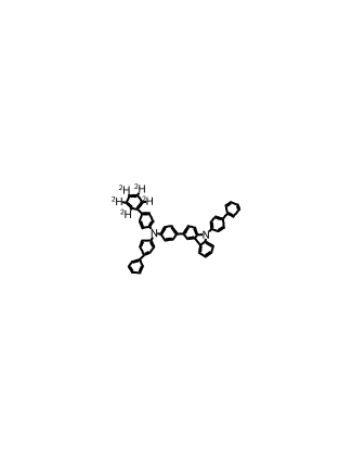 [2H]c1c([2H])c([2H])c(-c2ccc(N(c3ccc(-c4ccccc4)cc3)c3ccc(-c4ccc5c(c4)c4ccccc4n5-c4ccc(-c5ccccc5)cc4)cc3)cc2)c([2H])c1[2H]